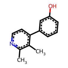 Cc1nccc(-c2cccc(O)c2)c1C